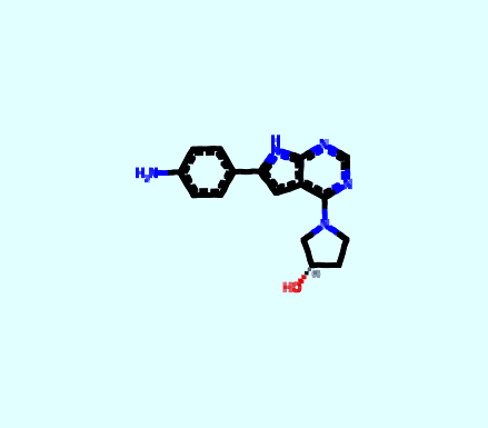 Nc1ccc(-c2cc3c(N4CC[C@H](O)C4)ncnc3[nH]2)cc1